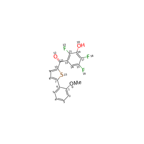 COc1ccccc1-c1ccc(C(=O)c2cc(F)c(F)c(O)c2F)s1